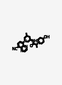 CC1CC(NC(=O)C(C)N2CCC(O)CC2)CN(c2ccc(C#N)c3nccnc23)C1